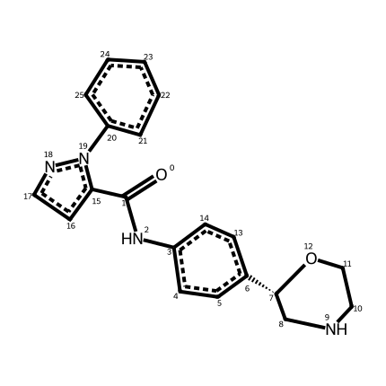 O=C(Nc1ccc([C@H]2CNCCO2)cc1)c1ccnn1-c1ccccc1